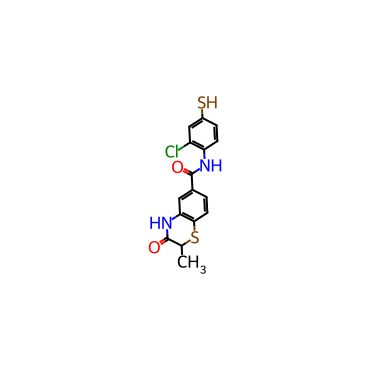 CC1Sc2ccc(C(=O)Nc3ccc(S)cc3Cl)cc2NC1=O